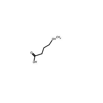 C.O=C(O)CCCO